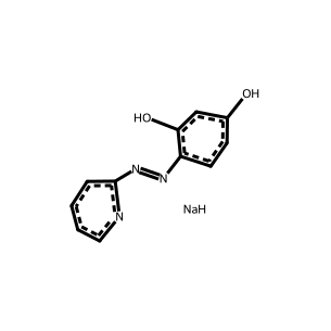 Oc1ccc(N=Nc2ccccn2)c(O)c1.[NaH]